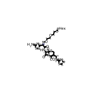 CCCCCCOCCOCCO/N=C(\C(=O)NC1C(=O)N2C(C(=O)O)=C(CSc3nncs3)CS[C@H]12)c1nsc(N)n1